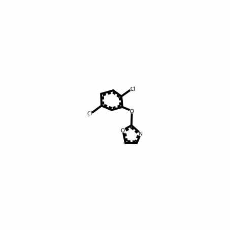 Clc1ccc(Cl)c(Oc2nc[c]o2)c1